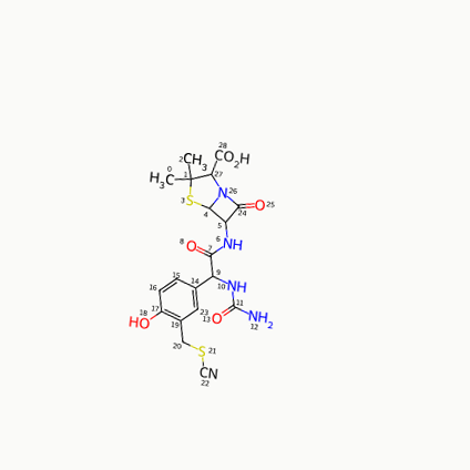 CC1(C)SC2C(NC(=O)C(NC(N)=O)c3ccc(O)c(CSC#N)c3)C(=O)N2C1C(=O)O